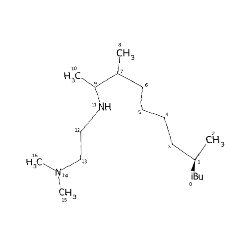 CCC(C)[C@H](C)CCCCC(C)C(C)NCCN(C)C